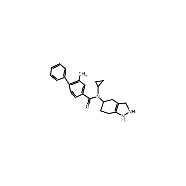 Cc1cc(C(=O)N(C2CC2)C2CCC3=C(CNN3)C2)ccc1-c1ccccc1